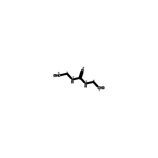 O=CCNC(=O)NCC=O